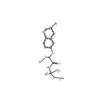 CCOC(Oc1ccc2ncc(Br)cc2c1)C(=O)NC(C)(C#N)COC